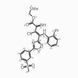 CSCOC(=O)C(=N)/C(Cl)=C(\Nc1ccccc1C(C)C)c1noc(-c2cccc(S(C)(=O)=O)c2)n1